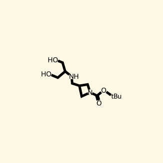 CC(C)(C)OC(=O)N1CC(CNC(CO)CO)C1